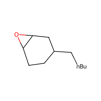 [CH2]CCCCC1CCC2OC2C1